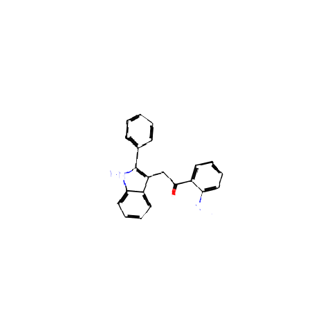 Nc1ccccc1C(=O)Cc1c(-c2ccccc2)[nH]c2ccccc12